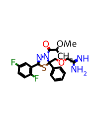 COC(C)C(=O)N1N=C(c2cc(F)ccc2F)SC1(COCC(=N)N)c1ccccc1